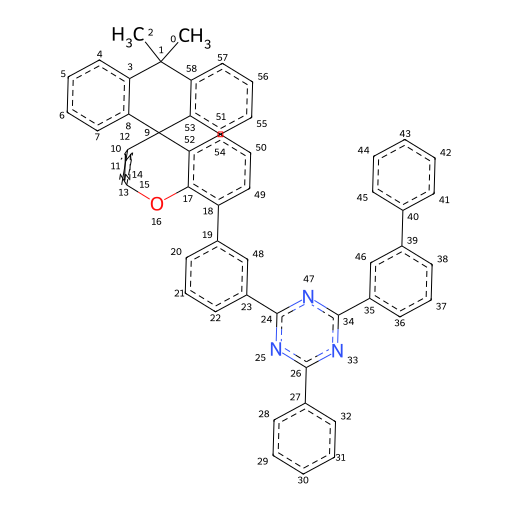 CC1(C)c2ccccc2C2(c3ccccc3Oc3c(-c4cccc(-c5nc(-c6ccccc6)nc(-c6cccc(-c7ccccc7)c6)n5)c4)cccc32)c2ccccc21